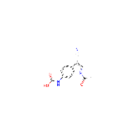 CC(=O)n1cc(C#N)c2ccc(NC(=O)O)cc21